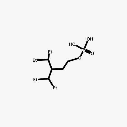 CCC(CC)C(CCOP(=O)(O)O)C(CC)CC